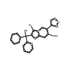 CCc1c(C(O)(c2ccccc2)c2ccccn2)nc2cc(OC)c(-c3nnn[nH]3)cn12